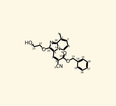 Cc1cccn2c(/C=C(/C#N)C(=O)OCc3ccccc3)c(OCCO)nc12